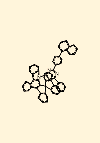 c1ccc(-c2nc(-c3ccc(-c4cccc5ccccc45)cc3)nc(-n3c4ccccc4c4c5ccccc5c5c(c43)C3(c4ccccc4-c4ccccc43)c3ccccc3-5)n2)cc1